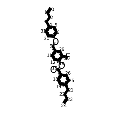 C=CCCc1ccc(OCc2ccc(OC(=O)c3ccc(CCC=C)cc3)c(F)c2)cc1